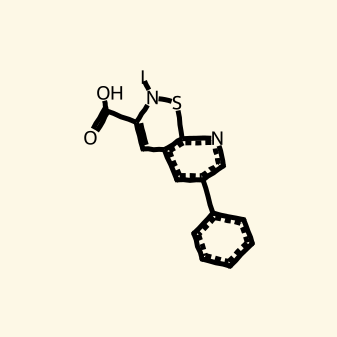 O=C(O)C1=Cc2cc(-c3ccccc3)cnc2SN1I